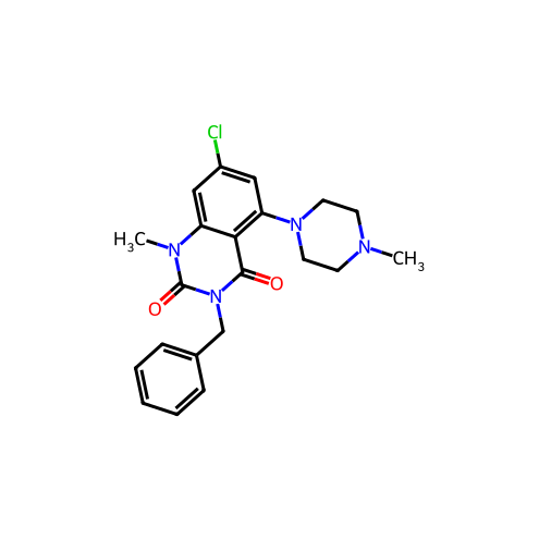 CN1CCN(c2cc(Cl)cc3c2c(=O)n(Cc2ccccc2)c(=O)n3C)CC1